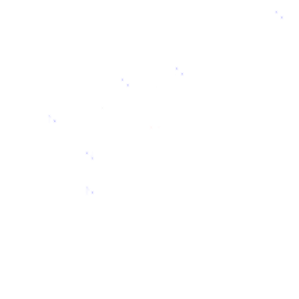 O=C(NCc1ccncc1)Nc1cnc2cc(-c3ccccc3)nn2c1